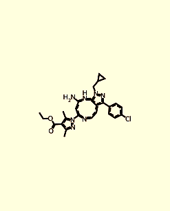 CCOC(=O)c1c(C)nn(-c2cc(N)[nH]c3c(ccn2)c(-c2ccc(Cl)cc2)nn3CC2CC2)c1C